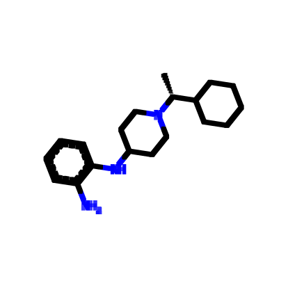 C[C@H](C1CCCCC1)N1CCC(Nc2ccccc2N)CC1